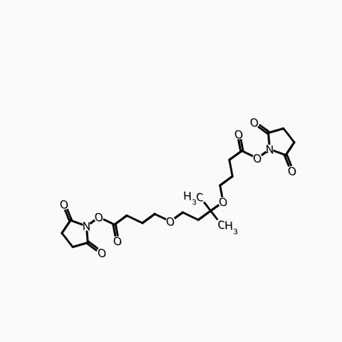 CC(C)(CCOCCCC(=O)ON1C(=O)CCC1=O)OCCCC(=O)ON1C(=O)CCC1=O